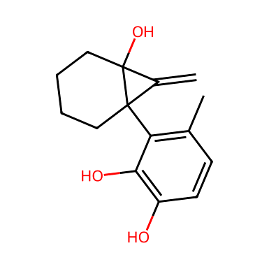 C=C1C2(O)CCCCC12c1c(C)ccc(O)c1O